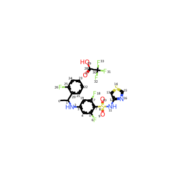 CC(Nc1cc(F)c(S(=O)(=O)Nc2cscn2)c(F)c1)c1ccccc1F.O=C(O)C(F)(F)F